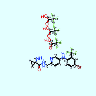 NC1(C(=O)NCc2ccc(Nc3ccc(Br)cc3C(F)(F)F)cn2)CC1.O=C(O)C(F)(F)F.O=C(O)C(F)(F)F.O=C(O)C(F)(F)F